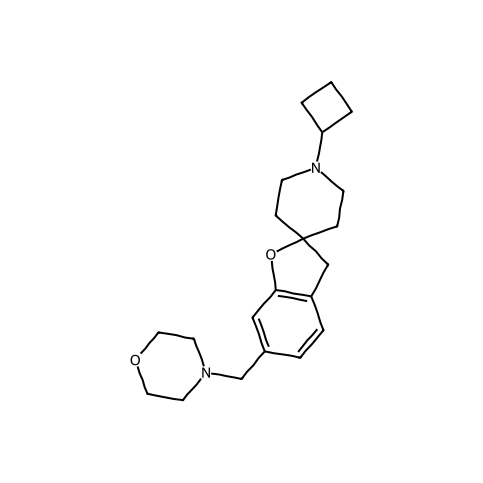 c1cc2c(cc1CN1CCOCC1)OC1(CCN(C3CCC3)CC1)C2